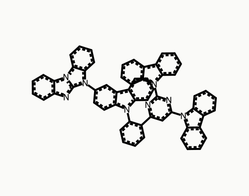 c1ccc(-n2c3ccccc3c3cc(-n4c5ccccc5n5c6ccccc6nc45)ccc32)c(-c2cc(-n3c4ccccc4c4ccccc43)nc(-n3c4ccccc4c4ccccc43)n2)c1